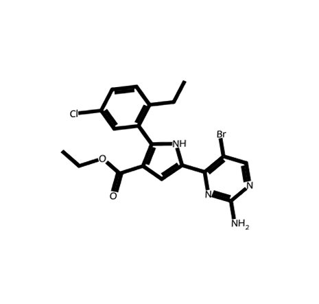 CCOC(=O)c1cc(-c2nc(N)ncc2Br)[nH]c1-c1cc(Cl)ccc1CC